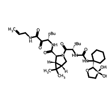 C=CCNC(=O)C(=O)[C@H](CCCC)NC(=O)[C@@H]1[C@@H]2[C@H](CN1C(=O)[C@@H](NC(=O)NC1([C@H]3OCCS3(O)O)CCCCC1)C(C)(C)C)C2(C)C